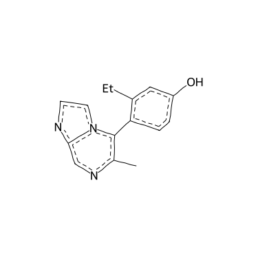 CCc1cc(O)ccc1-c1c(C)ncc2nccn12